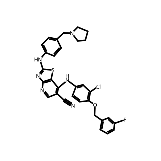 N#Cc1cnc2nc(Nc3ccc(CN4CCCC4)cc3)sc2c1Nc1ccc(OCc2cccc(F)c2)c(Cl)c1